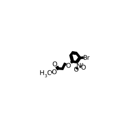 COC(=O)CCOc1cccc(Br)c1[N+](=O)[O-]